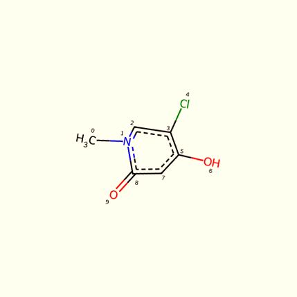 Cn1cc(Cl)c(O)cc1=O